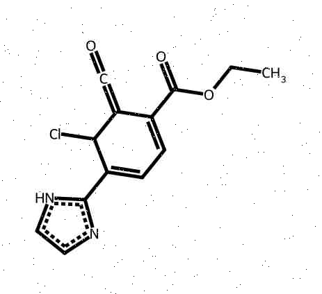 CCOC(=O)C1=CC=C(c2ncc[nH]2)C(Cl)C1=C=O